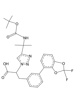 CC(C)(C)OC(=O)NC(C)(C)c1cn(C(Cc2cccc(-c3cccc4c3OC(F)(F)O4)c2)C(=O)O)nn1